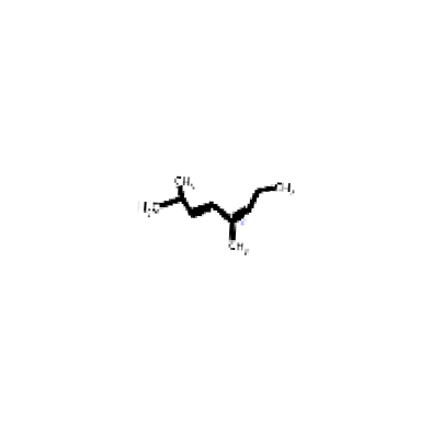 CC/C=C(/C)C=C[C](C)C